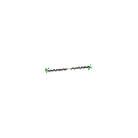 FC(F)(F)CCCCCCCCCCCCSSCCCCCCCCCCCCC(F)(F)F